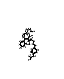 Cc1nnc2n1-c1sc(CCCc3ccc(CC(C)C)cc3)cc1C(c1ccccc1Cl)=NC2